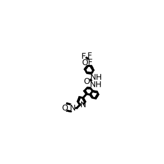 O=C(Nc1ccc(OC(F)(F)F)cc1)Nc1ccc(-c2ccc(CN3CCOCC3)nc2)c2ccccc12